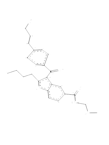 CCCCc1oc2ccc(C(=O)NCOC)cc2c1C(=O)c1ccc(CCCBr)cc1